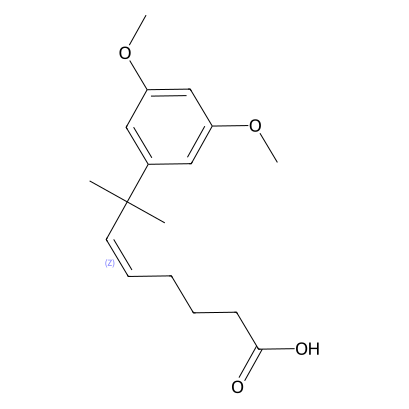 COc1cc(OC)cc(C(C)(C)/C=C\CCCC(=O)O)c1